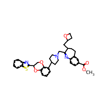 COC(=O)c1ccc2c(c1)CCC(CC1CCO1)C(CN1CCC(c3cccc4c3OCC(c3nc5ccccc5s3)O4)CC1)=N2